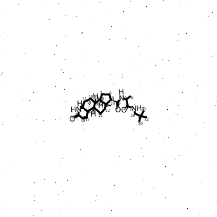 CC(NC(=O)[C@@H]1CC[C@@H]2[C@H]3CC[C@H]4NC(=O)C=C[C@]4(C)[C@@H]3CC[C@]21C)C(=O)NCC(C)(C)C